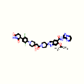 CC(C)Oc1cc2nn(C3CCN(C(=O)CC4(O)CCN(c5cc(F)c(C6CCC(=O)NC6=O)cc5F)CC4)CC3)cc2cc1C(=O)Nc1cnn2cccnc12